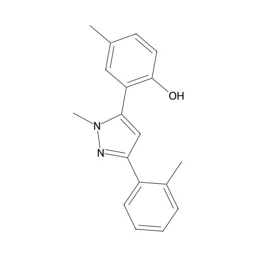 Cc1ccc(O)c(-c2cc(-c3ccccc3C)nn2C)c1